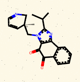 CC(C)c1nc2c(n1C[C@@]1(C)C=CC=NC1)C(=O)C(=O)c1ccccc1-2